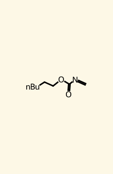 C=NC(=O)OCCCCCC